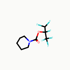 O=C(OC(F)(C(F)F)C(F)(F)F)N1CCCCC1